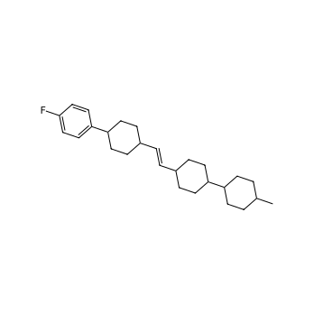 CC1CCC(C2CCC(/C=C/C3CCC(c4ccc(F)cc4)CC3)CC2)CC1